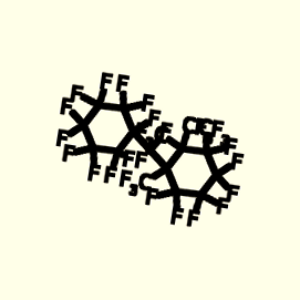 FC(F)(F)C1(F)C(F)(F)C(F)(F)C(F)(F)C(C(F)(F)F)(C(F)(F)C2(F)C(F)(F)C(F)(F)C(F)(F)C(F)(F)C2(F)F)C1(C(F)(F)F)C(F)(F)F